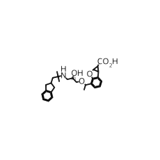 CC(OC[C@H](O)CNC(C)(C)CC1Cc2ccccc2C1)c1cccc2c1OC1C(C(=O)O)C21